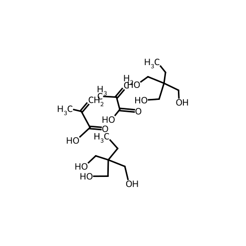 C=C(C)C(=O)O.C=C(C)C(=O)O.CCC(CO)(CO)CO.CCC(CO)(CO)CO